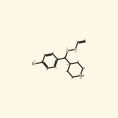 C=COOC(c1ccc(CC)cc1)C1CCNCC1